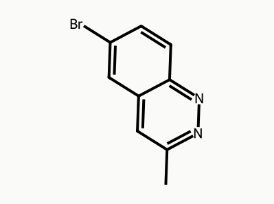 Cc1cc2cc(Br)ccc2nn1